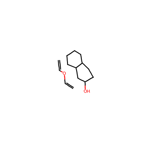 C=COC=C.OC1CCC2CCCCC2C1